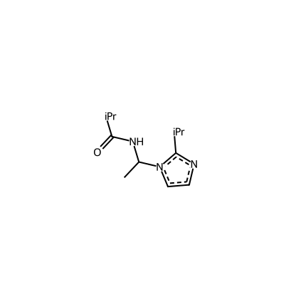 CC(C)C(=O)NC(C)n1ccnc1C(C)C